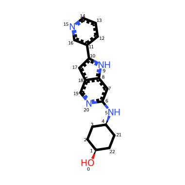 O[C@H]1CC[C@@H](Nc2cc3[nH]c(-c4cccnc4)cc3cn2)CC1